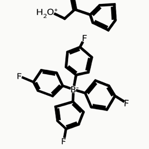 C=C(C[OH2+])c1ccccc1.Fc1ccc([B-](c2ccc(F)cc2)(c2ccc(F)cc2)c2ccc(F)cc2)cc1